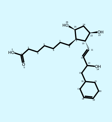 O=C(O)CCCCCC[C@@H]1[C@@H](C=CC(O)CC2CC=CCC2)[C@H](O)C[C@@H]1O